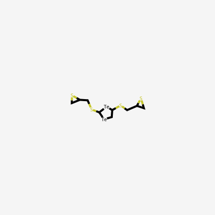 C1SC1CSC1C[Te]C(SCC2CS2)[Te]1